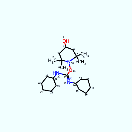 CC1(C)CC(O)CC(C)(C)N1O/C(=N\C1CCCCC1)NC1CCCCC1